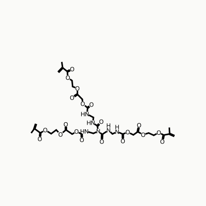 C=C(C)C(=O)OCCOC(=O)COC(=O)NCNC(=O)N(CNC(=O)OCC(=O)OCCOC(=O)C(=C)C)C(=O)NCNC(=O)OCC(=O)OCCOC(=O)C(=C)C